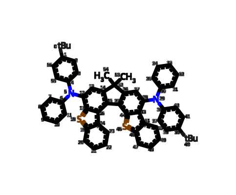 CC(C)(C)c1ccc(N(c2ccccc2)c2cc3c(c4c2sc2ccccc24)-c2c(cc(N(c4ccccc4)c4ccc(C(C)(C)C)cc4)c4c2sc2ccccc24)C3(C)C)cc1